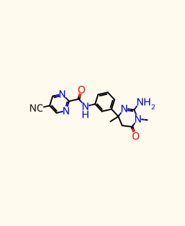 CN1C(=O)CC(C)(c2cccc(NC(=O)c3ncc(C#N)cn3)c2)N=C1N